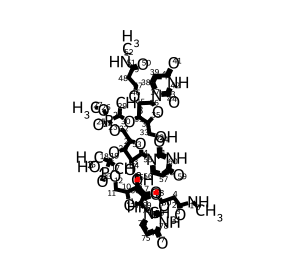 CNC(=O)CCOC1C(O)C(COP(=O)(O)C(C)(C)OC2C(COP(=O)(OC)C(C)OC3C(CO)OC(n4ccc(=O)[nH]c4=O)C3OCCC(=O)NC)OC(n3ccc(=O)[nH]c3=O)C2OCCC(=O)NC)OC1n1ccc(=O)[nH]c1=O